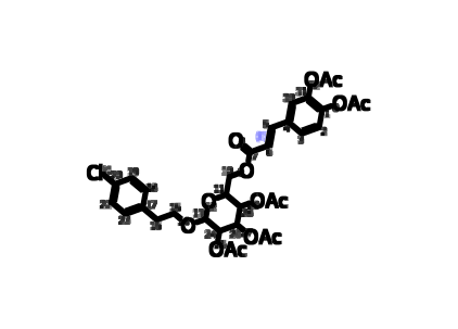 CC(=O)Oc1ccc(/C=C/C(=O)OCC2OC(OCCc3ccc(Cl)cc3)C(OC(C)=O)C(OC(C)=O)C2OC(C)=O)cc1OC(C)=O